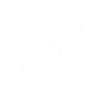 CC1(C(=O)NCC#N)COC(c2nc(-c3ccc(F)cc3)c(-c3ccnc(N)n3)[nH]2)OC1